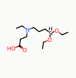 CCO[SiH](CCCN(CC)CCC(=O)O)OCC